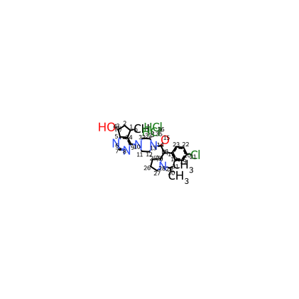 CC1C[C@@H](O)c2ncnc(N3CCN(C(=O)[C@@H](c4ccc(Cl)cc4)[C@@H]4CCCN4C(C)C)CC3)c21.Cl.Cl